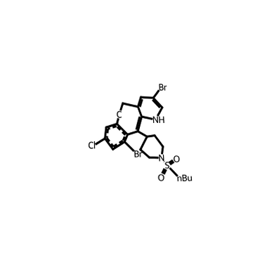 CCCCS(=O)(=O)N1CCC(C2=C3NC=C(Br)C=C3CCc3cc(Cl)cc(Br)c32)CC1